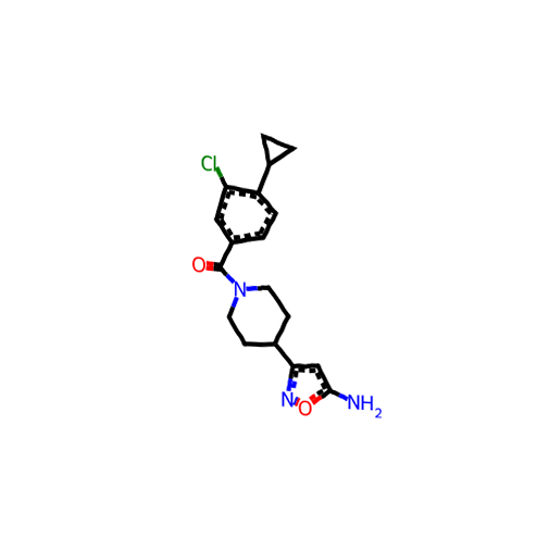 Nc1cc(C2CCN(C(=O)c3ccc(C4CC4)c(Cl)c3)CC2)no1